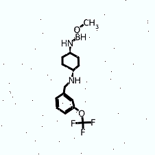 COBN[C@H]1CC[C@@H](NCc2cccc(OC(F)(F)F)c2)CC1